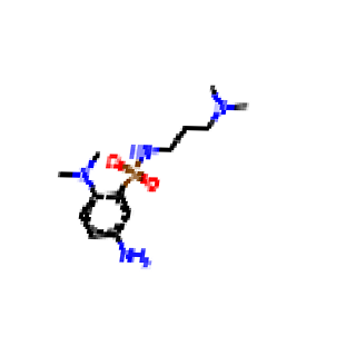 CN(C)CCCNS(=O)(=O)c1cc(N)ccc1N(C)C